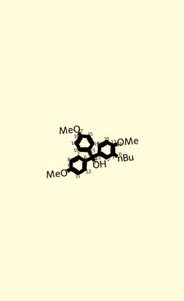 CCCCc1cc(C(O)(c2ccc(OC)cc2)c2ccc(OC)cc2)ccc1OC